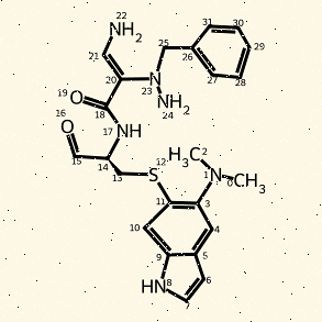 CN(C)c1cc2cc[nH]c2cc1SC[C@@H](C=O)NC(=O)/C(=C/N)N(N)Cc1ccccc1